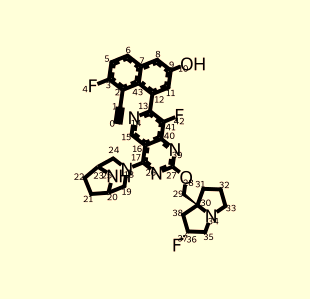 C#Cc1c(F)ccc2cc(O)cc(-c3ncc4c(N5CC6CCC(C5)N6)nc(OC[C@@]56CCCN5C[C@H](F)C6)nc4c3F)c12